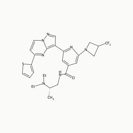 CCN(CC)[C@@H](C)CNC(=O)c1cc(-c2cnn3ccc(-c4cccs4)nc23)nc(N2CC(C(F)(F)F)C2)c1